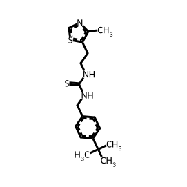 Cc1ncsc1CCNC(=S)NCc1ccc(C(C)(C)C)cc1